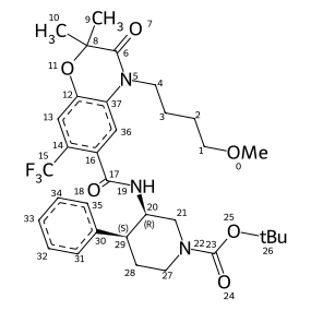 COCCCCN1C(=O)C(C)(C)Oc2cc(C(F)(F)F)c(C(=O)N[C@H]3CN(C(=O)OC(C)(C)C)CC[C@H]3c3ccccc3)cc21